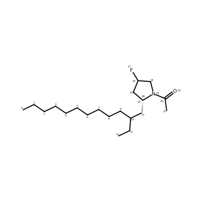 CCCCCCCCCCC(CC)C[C@@H]1CC(F)CN1C(C)=O